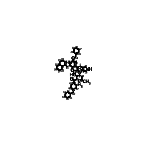 CC(C)C[C@H](NC(=O)[C@H](Cc1c[nH]cn1)NC(=O)[C@H](Cc1cccc2ccccc12)NC(=O)OCc1ccccc1)[C@@H](O)CC(=O)N1CCN(Cc2ccccc2)CC1